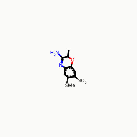 CSc1cc2c(cc1[N+](=O)[O-])OC(C)C(N)=N2